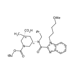 COCCCCn1c(C(=O)N(CC(C)C)[C@@H]2CN(C(=O)OC(C)(C)C)C[C@](C)(C(=O)O)C2)nc2ccccc21